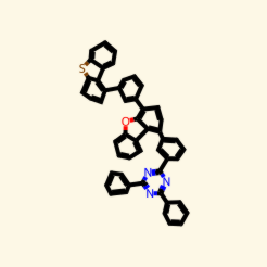 c1ccc(-c2nc(-c3ccccc3)nc(-c3cccc(-c4ccc(-c5cccc(-c6cccc7sc8ccccc8c67)c5)c5oc6ccccc6c45)c3)n2)cc1